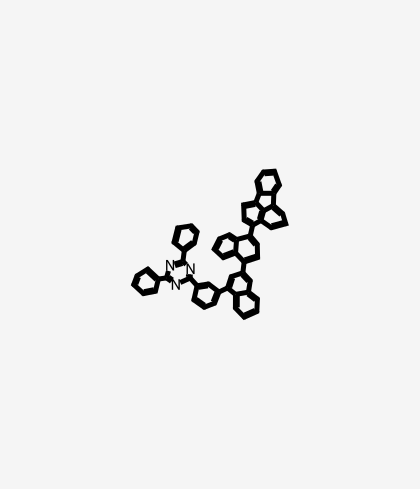 c1ccc(-c2nc(-c3ccccc3)nc(-c3cccc(-c4cc(-c5ccc(-c6ccc7c8c(cccc68)-c6ccccc6-7)c6ccccc56)cc5ccccc45)c3)n2)cc1